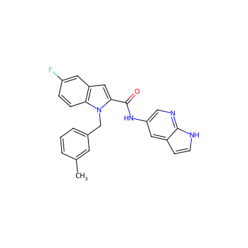 Cc1cccc(Cn2c(C(=O)Nc3cnc4[nH]ccc4c3)cc3cc(F)ccc32)c1